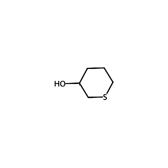 O[C]1CCCSC1